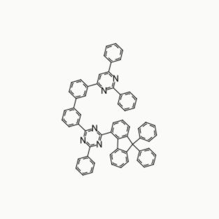 c1ccc(-c2cc(-c3cccc(-c4cccc(-c5nc(-c6ccccc6)nc(-c6cccc7c6-c6ccccc6C7(c6ccccc6)c6ccccc6)n5)c4)c3)nc(-c3ccccc3)n2)cc1